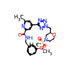 COc1cccc(CNC(=O)c2cc(-c3nnn(CC4CN(S(C)(=O)=O)CCO4)n3)cc(C)n2)c1